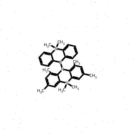 Cc1cc(C)c2c(c1)[Si](C)(C)c1cc(C)cc(C)c1N2B1c2ccccc2[Si](C)(C)c2ccccc21